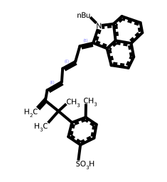 C=C(/C=C/C=C/C=c1\c2cccc3cccc(c32)n1CCCC)C(C)(C)c1cc(S(=O)(=O)O)ccc1C